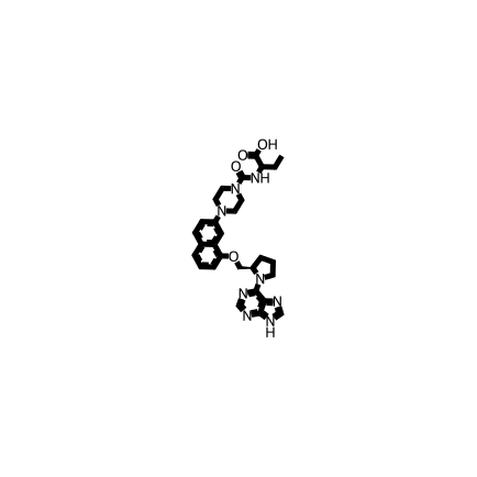 CCC(NC(=O)N1CCN(c2ccc3cccc(OC[C@H]4CCCN4c4ncnc5[nH]cnc45)c3c2)CC1)C(=O)O